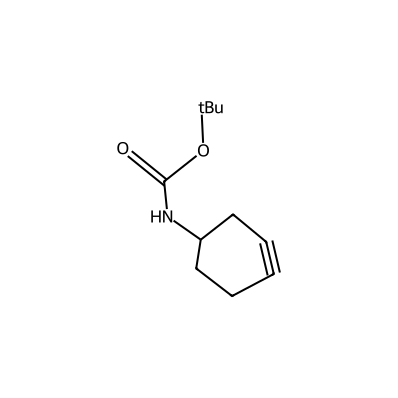 CC(C)(C)OC(=O)NC1CC#CCC1